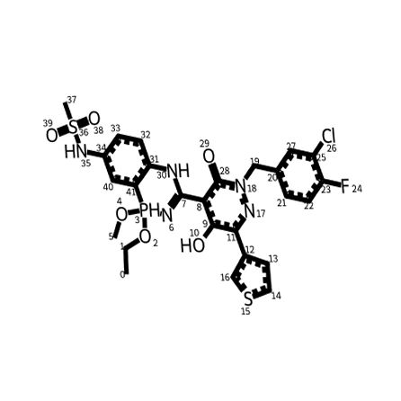 CCO[PH]1(OC)N=C(c2c(O)c(-c3ccsc3)nn(Cc3ccc(F)c(Cl)c3)c2=O)Nc2ccc(NS(C)(=O)=O)cc21